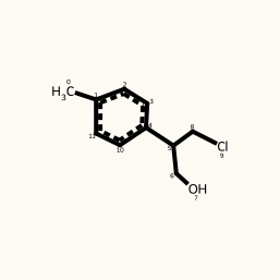 Cc1ccc(C(CO)CCl)cc1